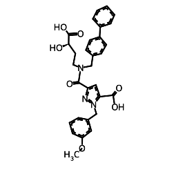 COc1cccc(Cn2nc(C(=O)N(CC[C@@H](O)C(=O)O)Cc3ccc(-c4ccccc4)cc3)cc2C(=O)O)c1